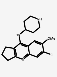 COc1cc2c(NC3CCNCC3)c3c(nc2cc1Cl)CCC3